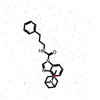 CN1CC2CC(C1)N2c1cccc2c1ncn2C(=O)NCCCc1ccccc1